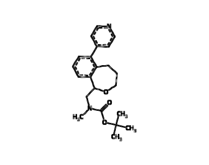 CN(CC1OCCCc2c(-c3ccncc3)cccc21)C(=O)OC(C)(C)C